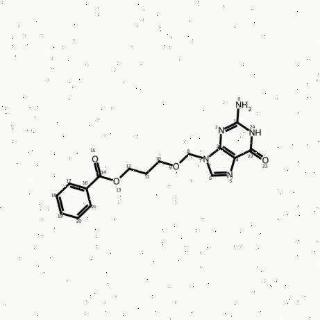 Nc1nc2c(ncn2COCCCOC(=O)c2ccccc2)c(=O)[nH]1